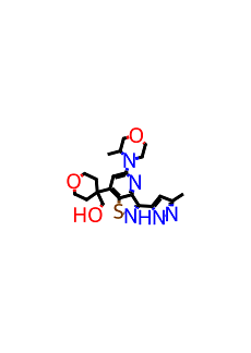 Cc1cc(-c2nsc3c(C4(CO)CCOCC4)cc(N4CCOCC4C)nc23)[nH]n1